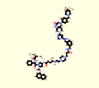 CN[C@@H](C)C(=O)N[C@H](C(=O)N1C[C@@H](NC(=O)CCC(=O)NCCN2CCN(CCC(=O)NCc3cccc(CNc4cc(N5CCC6(CC5)CN(c5cc(F)c(CN7CCC(C)(C)CC7)cc5F)CC(=O)N6)ncn4)c3)CC2)C[C@H]1C(=O)N[C@@H]1CCCc2ccccc21)C1CCCCC1